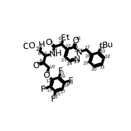 CCC(C(=O)NC(CC(=O)O)C(=O)COc1c(F)c(F)cc(F)c1F)c1ccnn(Cc2ccccc2C(C)(C)C)c1=O